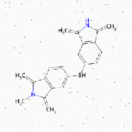 C=c1[nH]c(=C)c2cc(Bc3ccc4c(=C)n(C)c(=C)c4c3)ccc12